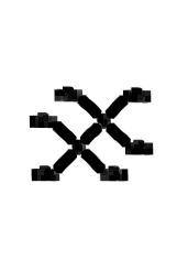 CCCC[Si](CCCC)(CCCC)[Si](CCCC)(CCCC)CCCC